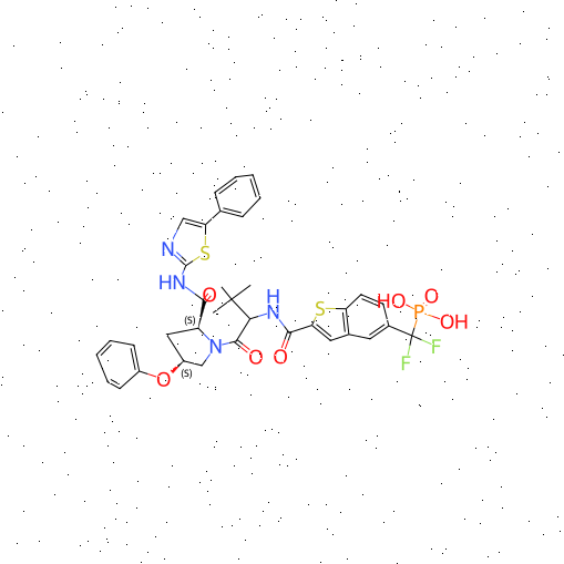 CC(C)(C)C(NC(=O)c1cc2cc(C(F)(F)P(=O)(O)O)ccc2s1)C(=O)N1C[C@@H](Oc2ccccc2)C[C@H]1C(=O)Nc1ncc(-c2ccccc2)s1